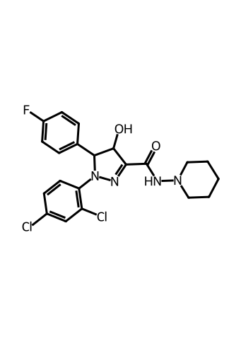 O=C(NN1CCCCC1)C1=NN(c2ccc(Cl)cc2Cl)C(c2ccc(F)cc2)C1O